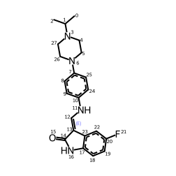 CC(C)N1CCN(c2ccc(N/C=C3/C(=O)Nc4ccc(F)cc43)cc2)CC1